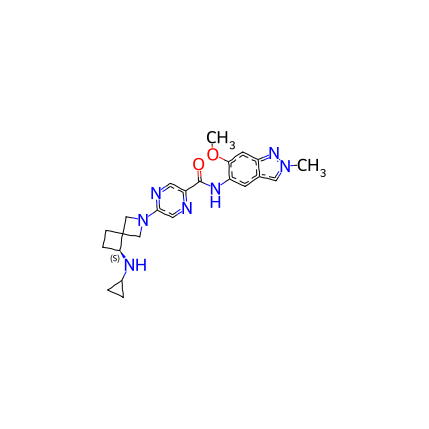 COc1cc2nn(C)cc2cc1NC(=O)c1cnc(N2CC3(CC[C@@H]3NC3CC3)C2)cn1